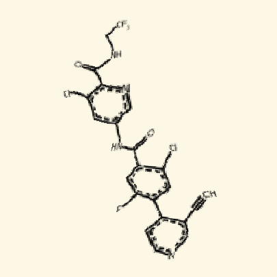 C#Cc1cnccc1-c1cc(Cl)c(C(=O)Nc2cnc(C(=O)NCC(F)(F)F)c(Cl)c2)cc1F